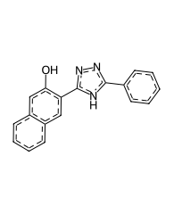 Oc1cc2ccccc2cc1-c1nnc(-c2ccccc2)[nH]1